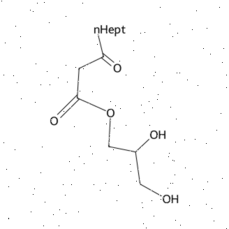 CCCCCCCC(=O)CC(=O)OCC(O)CO